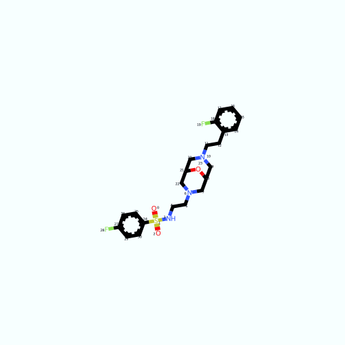 O=S(=O)(NCCN1CC2CN(CCc3ccccc3F)CC(C1)O2)c1ccc(F)cc1